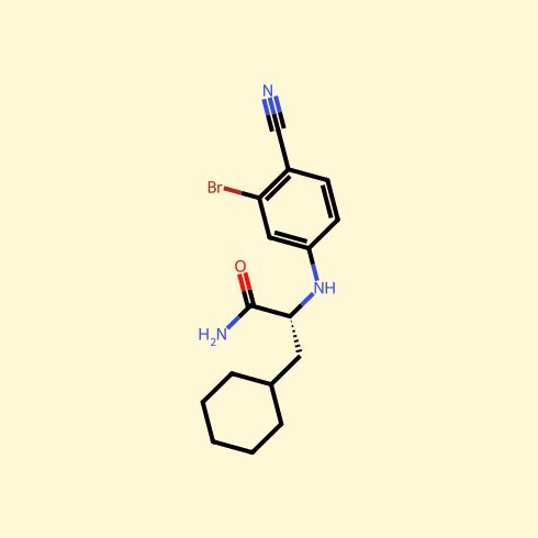 N#Cc1ccc(N[C@H](CC2CCCCC2)C(N)=O)cc1Br